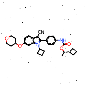 CC(OC(=O)Nc1ccc(-c2c(C#N)c3ccc(OC4CCOCC4)cc3n2C2CCC2)cc1)C1CCC1